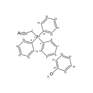 CC(=O)OC[P+](c1ccccc1)(c1ccccc1)c1ccccc1.[O-]c1ccccc1